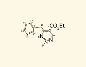 CCOC(=O)c1cnc(C)nc1Cc1ccccc1